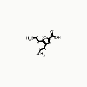 CCCc1cc(C(=O)O)oc1CCC